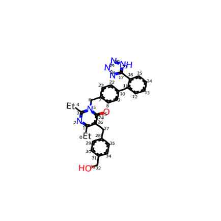 CCc1nc(CC)n(Cc2ccc(-c3ccccc3-c3nnn[nH]3)cc2)c(=O)c1Cc1ccc(CO)cc1